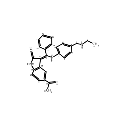 CCNCc1ccc(NC(=C2C(=O)Nc3ccc(C(C)=O)cc32)c2ccccc2)cc1